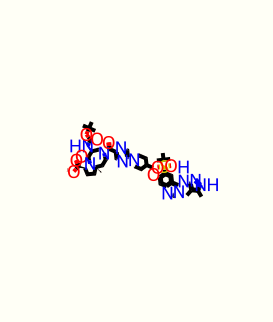 COC(=O)[C@@H]1CC[C@]2(C)CCN(C(=O)c3cnc(N4CCC(COc5cc6ncnc(Nc7n[nH]c(C)c7C)c6cc5S(=O)(=O)C(C)(C)C)CC4)cn3)C[C@H](NC(=O)OC(C)(C)C)C(=O)N12